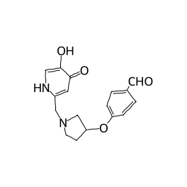 O=Cc1ccc(OC2CCN(Cc3cc(=O)c(O)c[nH]3)C2)cc1